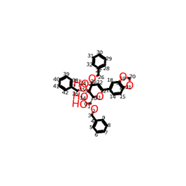 OC(OCc1ccccc1)[C@H]1OC(c2ccc3c(c2)OCO3)=C[C@](O)(OCc2ccccc2)[C@@]1(O)OCc1ccccc1